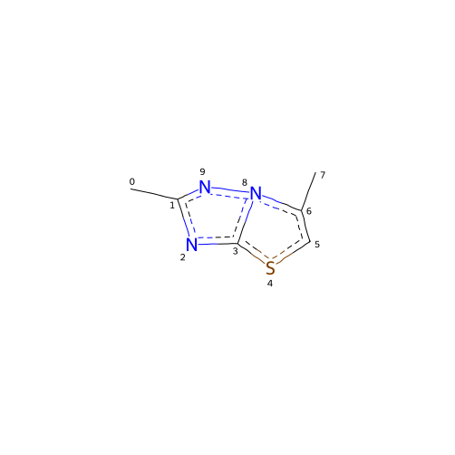 Cc1nc2scc(C)n2n1